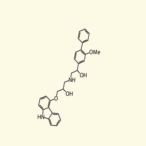 COc1cc(C(O)CNCC(O)COc2cccc3[nH]c4ccccc4c23)ccc1-c1ccccc1